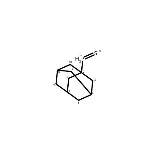 S=[PH2]C12CC3CC(CC(C3)C1)C2